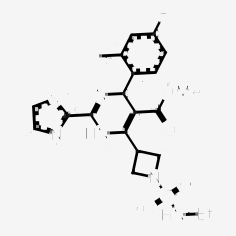 CCNS(=O)(=O)N1CC(C2=C(C(=O)OC)C(c3ccc(F)cc3Cl)N=C(c3nccs3)N2)C1